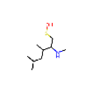 CNC(CSO)C(C)CC(C)C